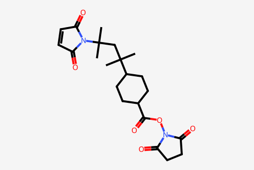 CC(C)(CC(C)(C)N1C(=O)C=CC1=O)C1CCC(C(=O)ON2C(=O)CCC2=O)CC1